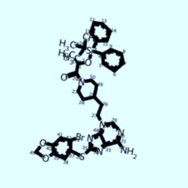 C[C@@H](O[Si](c1ccccc1)(c1ccccc1)C(C)(C)C)C(=O)N1CCC(CCn2cnc(N)c3nc(Sc4cc5c(cc4Br)OCO5)nc2-3)CC1